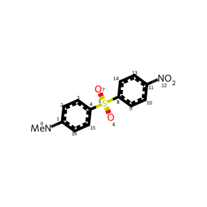 CNc1ccc(S(=O)(=O)c2ccc([N+](=O)[O-])cc2)cc1